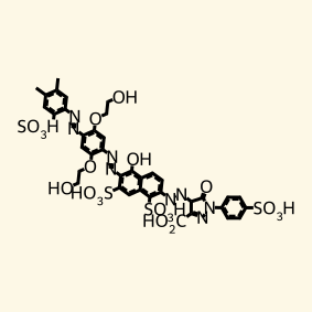 Cc1cc(/N=N/c2cc(OCCO)c(/N=N/c3c(S(=O)(=O)O)cc4c(S(=O)(=O)O)c(/N=N/C5C(=O)N(c6ccc(S(=O)(=O)O)cc6)N=C5C(=O)O)ccc4c3O)cc2OCCO)c(S(=O)(=O)O)cc1C